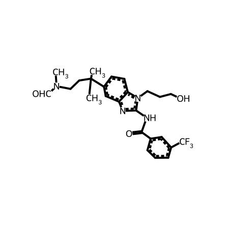 CN(C=O)CCC(C)(C)c1ccc2c(c1)nc(NC(=O)c1cccc(C(F)(F)F)c1)n2CCCO